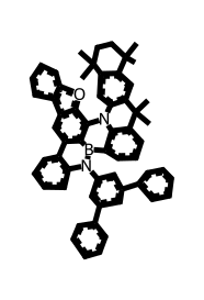 CC1(C)CCC(C)(C)c2cc3c(cc21)N1c2c(cccc2C3(C)C)B2c3c(cc4c(oc5ccccc54)c31)-c1ccccc1N2c1cc(-c2ccccc2)cc(-c2ccccc2)c1